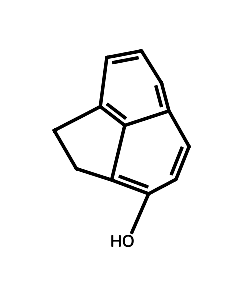 Oc1ccc2cccc3c2c1CC3